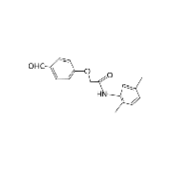 Cc1ccc(C)c(NC(=O)COc2ccc(C=O)cc2)c1